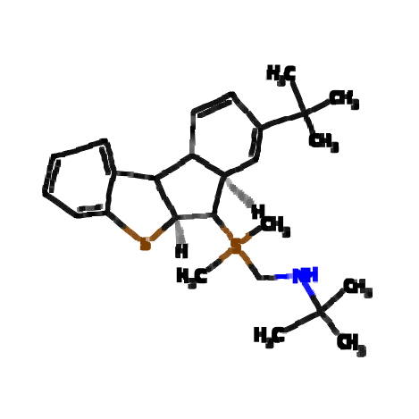 CC(C)(C)NCS(C)(C)C1[C@@H]2C=C(C(C)(C)C)C=CC2C2c3ccccc3S[C@@H]21